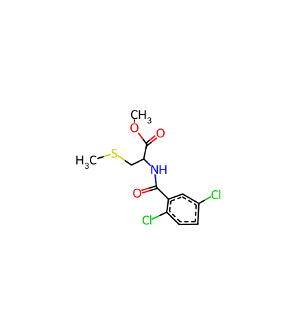 COC(=O)C(CSC)NC(=O)c1cc(Cl)ccc1Cl